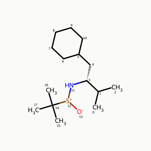 CC(C)[C@@H](CC1CCCCC1)N[S+]([O-])C(C)(C)C